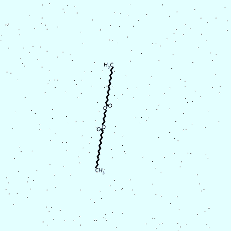 CCCCCCCCCCCCCCCC(=O)OCCCCCCOC(=O)CCCCCCCCCCCCCCC